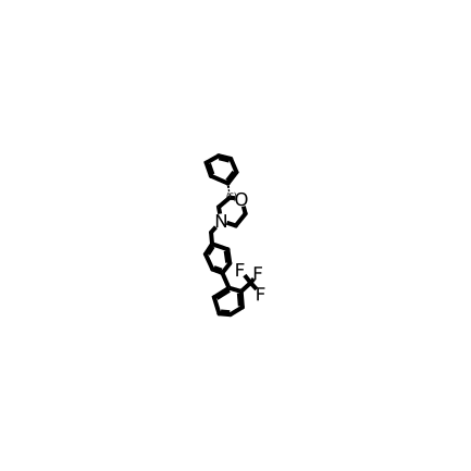 FC(F)(F)c1ccccc1-c1ccc(CN2CCO[C@@H](c3ccccc3)C2)cc1